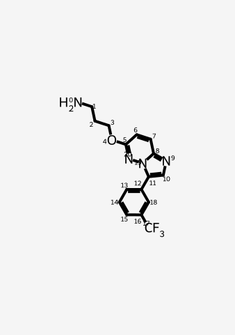 NCCCOc1ccc2ncc(-c3cccc(C(F)(F)F)c3)n2n1